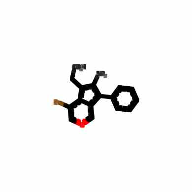 O=C(O)Cc1c2c(Br)cocc-2c(-c2ccccc2)c1[N+](=O)[O-]